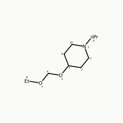 [CH2]CCN1CCC(OCOCC)CC1